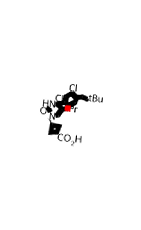 CC(C)C1=CN(C[C@H]2C[C@H](C(=O)O)C2)C(=O)NC1(C)c1ccc(CCC(C)(C)C)c(Cl)c1